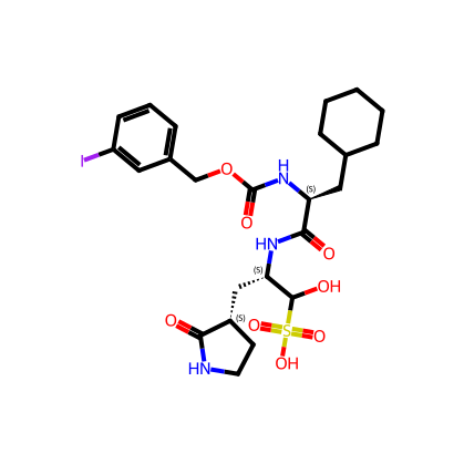 O=C(N[C@@H](CC1CCCCC1)C(=O)N[C@@H](C[C@@H]1CCNC1=O)C(O)S(=O)(=O)O)OCc1cccc(I)c1